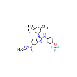 CCNC(=O)c1ccc2c(c1)nc(Nc1ccc(OC(F)(F)F)cc1)n2[C@@H]1C[C@H](C)CC(C)(C)C1